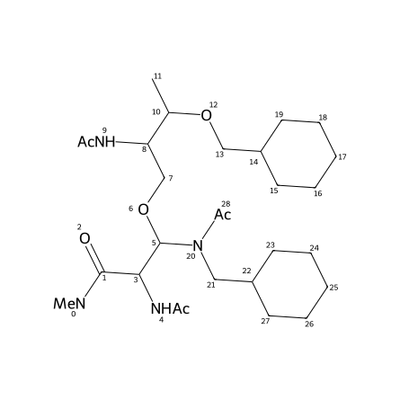 CNC(=O)C(NC(C)=O)C(OCC(NC(C)=O)C(C)OCC1CCCCC1)N(CC1CCCCC1)C(C)=O